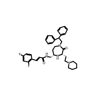 O=C(/C=C/c1ccc(F)cc1F)NC[C@@H]1CCN(CC(c2ccccc2)c2ccccc2)C(=O)[C@H](CCN2CCCCC2)N1